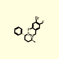 C[C@H]1CC[C@H](c2ccccc2)SN1Cc1cc(F)c(Br)cc1F